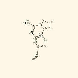 N#Cc1ccc2c(c1)N=C(N)C1CCCC21